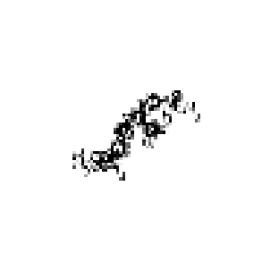 CC(=O)NCC1CCN(Cc2cc(Oc3ccc(N4CCCN(C(=O)OC(C)(C)C)CC4)nc3)nc(-c3cc(Cl)cc(Cl)c3)c2)CC1